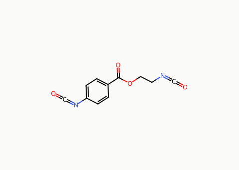 O=C=NCCOC(=O)c1ccc(N=C=O)cc1